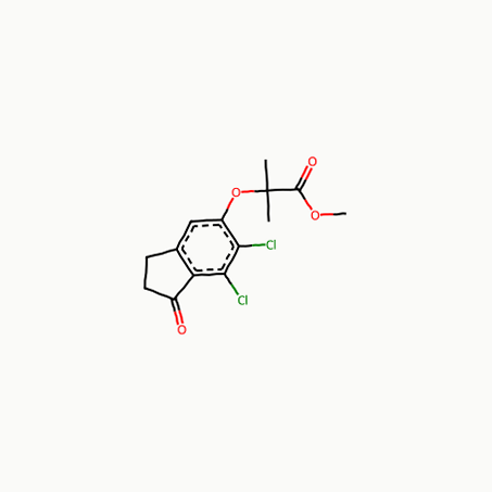 COC(=O)C(C)(C)Oc1cc2c(c(Cl)c1Cl)C(=O)CC2